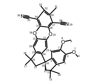 COc1cc2c(cc1OC)[C@]1(CC2(C)C)CC(C)(C)c2cc3c(cc21)Oc1c(C#N)c(C)c(C)c(C#N)c1O3